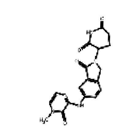 Cn1ccnc(Nc2ccc3c(c2)C(=O)N(C2CCC(=O)NC2=O)C3)c1=O